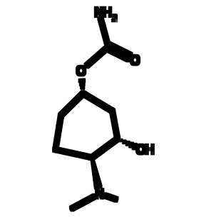 CN(C)[C@H]1CC[C@H](OC(N)=O)C[C@@H]1O